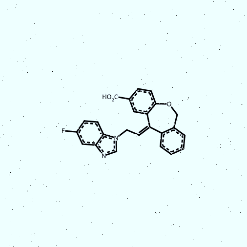 O=C(O)c1ccc2c(c1)C(=CCn1cnc3cc(F)ccc31)c1ccccc1CO2